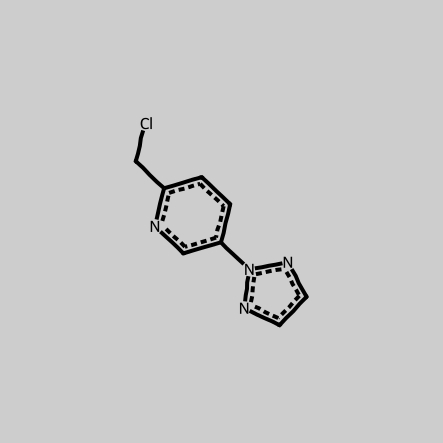 ClCc1ccc(-n2nccn2)cn1